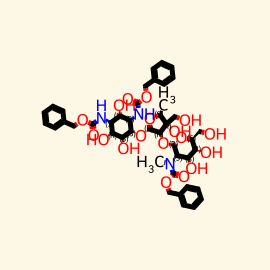 C[C@@H]1O[C@@H](O[C@@H]2[C@@H](O)[C@H](O)[C@@H](NC(=O)OCc3ccccc3)[C@H](O)[C@H]2NC(=O)OCc2ccccc2)[C@H](O[C@H]2O[C@@H](CO)[C@H](O)[C@@H](O)[C@@H]2N(C)C(=O)OCc2ccccc2)[C@@]1(O)CO